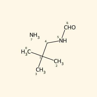 CC(C)(C)CNC=O.N